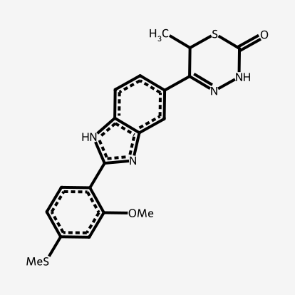 COc1cc(SC)ccc1-c1nc2cc(C3=NNC(=O)SC3C)ccc2[nH]1